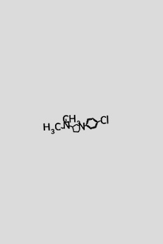 CCN(C)C1CCN(c2ccc(Cl)cc2)C1